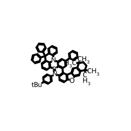 CC(C)(C)c1ccc(N2B3c4cccc5c4N(c4ccccc4C5(c4ccccc4)c4ccccc4)c4cc(-c5ccccc5)cc(c43)-c3c2ccc2oc4cc5c(cc4c32)C(C)(C)CCC5(C)C)cc1